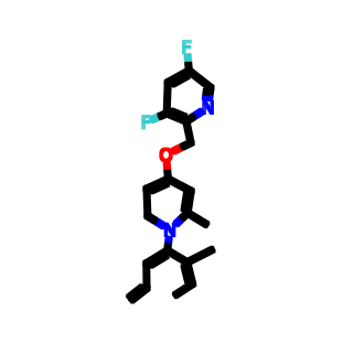 C=C/C=C(\C(C)=C/C)N1CC=C(OCc2ncc(F)cc2F)C=C1C